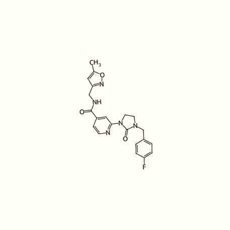 Cc1cc(CNC(=O)c2ccnc(N3CCN(Cc4ccc(F)cc4)C3=O)c2)no1